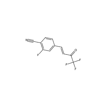 N#Cc1ccc(C=CC(=O)C(F)(F)F)cc1F